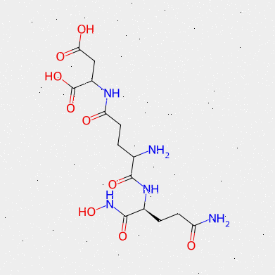 NC(=O)CC[C@H](NC(=O)C(N)CCC(=O)NC(CC(=O)O)C(=O)O)C(=O)NO